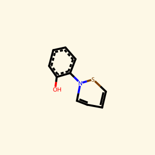 Oc1ccccc1N1C=CC=CS1